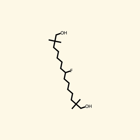 CC(C)(CO)CCCCCC(F)CCCCCC(C)(C)CO